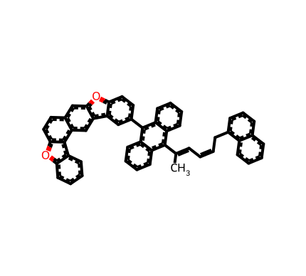 C/C(=C\C=C/Cc1cccc2ccccc12)c1c2ccccc2c(-c2ccc3oc4cc5ccc6oc7ccccc7c6c5cc4c3c2)c2ccccc12